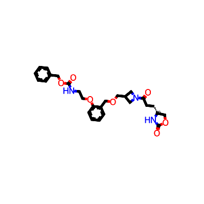 O=C(NCCOc1ccccc1COCC1CN(C(=O)CC[C@@H]2COC(=O)N2)C1)OCc1ccccc1